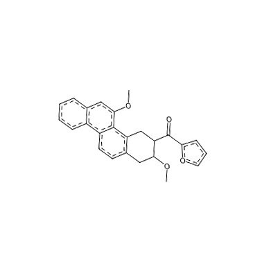 COc1cc2ccccc2c2ccc3c(c12)CC(C(=O)c1ccco1)C(OC)C3